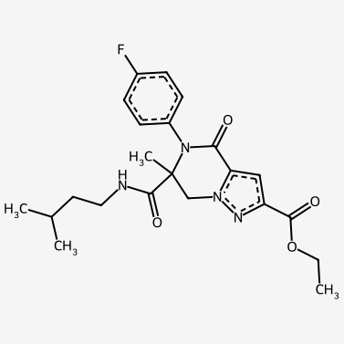 CCOC(=O)c1cc2n(n1)CC(C)(C(=O)NCCC(C)C)N(c1ccc(F)cc1)C2=O